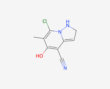 CC1=C(Cl)N2NCC=C2C(C#N)=C1O